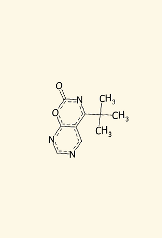 CC(C)(C)c1nc(=O)oc2ncncc12